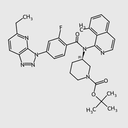 CCc1ccc2nnn(-c3ccc(C(=O)N(c4nccc5cccc(C)c45)[C@@H]4CCCN(C(=O)OC(C)(C)C)C4)c(F)c3)c2n1